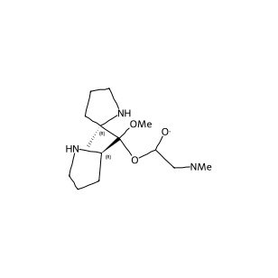 CNCC([O])OC(OC)([C@H]1CCCN1)[C@@]1(C)CCCN1